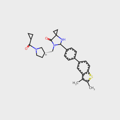 Cc1sc2ccc(-c3ccc(C4NC5(CC5)C(=O)N4C[C@@H]4CCN(C(=O)C5CC5)C4)cc3)cc2c1C